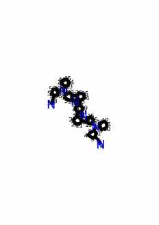 N#Cc1cccc(N(c2ccccc2)c2ccc3c(c2)c2cccc4c5cc6c(cc5n3c24)c2cccc3c4cc(N(c5ccccc5)c5cccc(C#N)c5)ccc4n6c32)c1